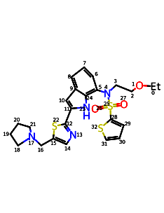 CCOCCN(c1cccc2cc(-c3ncc(CN4CCCC4)s3)[nH]c12)S(=O)(=O)c1cccs1